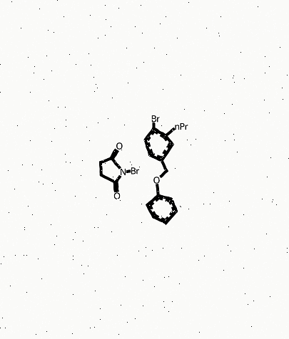 CCCc1cc(COc2ccccc2)ccc1Br.O=C1CCC(=O)N1Br